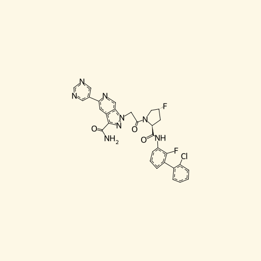 NC(=O)c1nn(CC(=O)N2C[C@H](F)C[C@H]2C(=O)Nc2cccc(-c3ccccc3Cl)c2F)c2cnc(-c3cncnc3)cc12